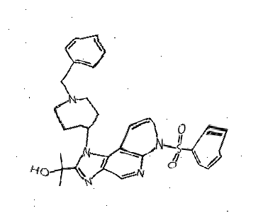 CC(C)(O)c1nc2cnc3c(ccn3S(=O)(=O)c3ccccc3)c2n1C1CCN(Cc2ccccc2)CC1